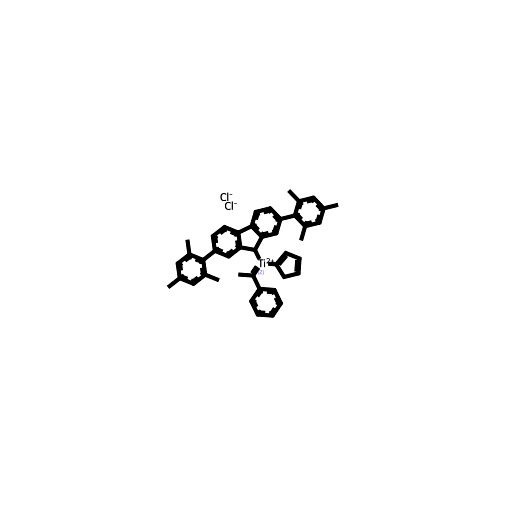 C/[C](c1ccccc1)=[Ti+2](/[C]1=CC=CC1)[CH]1c2cc(-c3c(C)cc(C)cc3C)ccc2-c2ccc(-c3c(C)cc(C)cc3C)cc21.[Cl-].[Cl-]